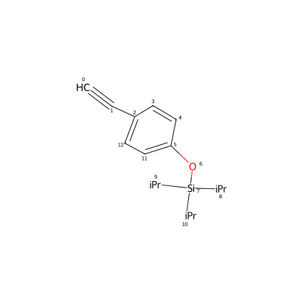 C#Cc1ccc(O[Si](C(C)C)(C(C)C)C(C)C)cc1